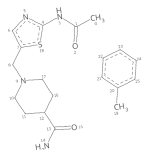 CC(=O)Nc1ncc(CN2CCC(C(N)=O)CC2)s1.Cc1ccccc1